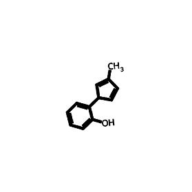 CC1=CC(c2ccccc2O)C=C1